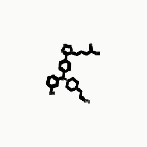 C=CCN1CCN([C@@H](c2ccc(-c3nnnn3CCCC(=O)O)cc2)c2cccc(O)c2)CC1